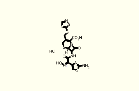 Cl.Nc1nc(/C(=N/O)C(=O)NC2C(=O)N3C(C(=O)O)=C(CSc4ncns4)CS[C@H]23)cs1